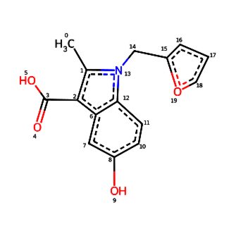 Cc1c(C(=O)O)c2cc(O)ccc2n1Cc1ccco1